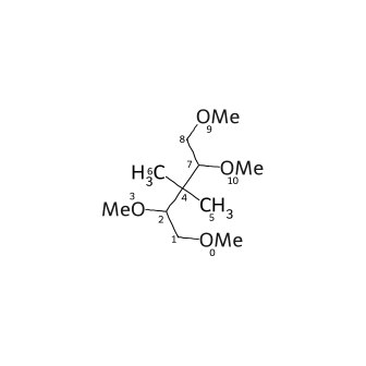 COCC(OC)C(C)(C)C(COC)OC